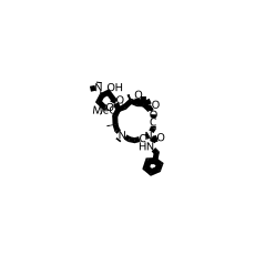 CO[C@]1(C)C[C@@H](C)CN(C)CCCN(C(=O)NCc2ccccc2)CCOC(=O)C(C)(C)C(=O)[C@H](C)[C@H]1O[C@@H]1O[C@H](C)C[C@H](N(C)C)[C@H]1O